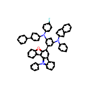 Fc1ccc(N(c2ccc(-c3ccccc3)cc2)c2cc(-c3cc4c5ccccc5n(-c5ccccc5)c4c4c3oc3ccccc34)cc(N(c3ccccc3)c3ccc4ccccc4c3)c2)cc1